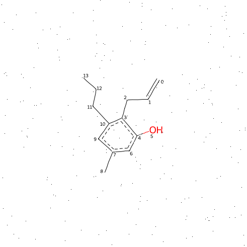 C=CCc1c(O)cc(C)cc1CCC